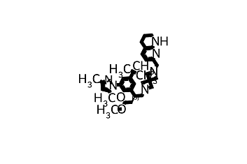 COC(=O)C[C@H](CN1CC2(CN(Cc3ccc4c(n3)NCCC4)C2)C1)c1cc(-n2nc(C)cc2C)cc(C(C)(C)C)c1